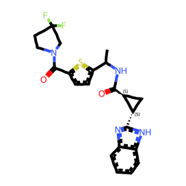 CC(NC(=O)[C@H]1C[C@@H]1c1nc2ccccc2[nH]1)c1ccc(C(=O)N2CCC(F)(F)C2)s1